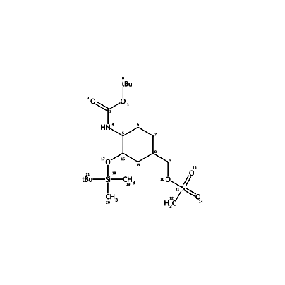 CC(C)(C)OC(=O)NC1CCC(COS(C)(=O)=O)CC1O[Si](C)(C)C(C)(C)C